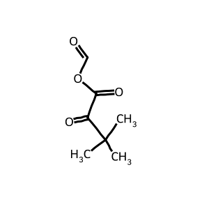 CC(C)(C)C(=O)C(=O)OC=O